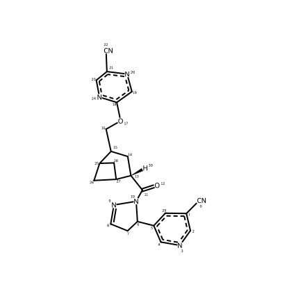 N#Cc1cncc(C2CC=NN2C(=O)[C@H]2CC(COc3cnc(C#N)cn3)C3CC2C3)c1